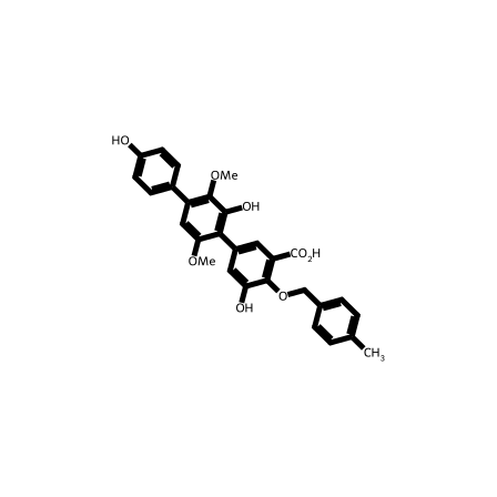 COc1cc(-c2ccc(O)cc2)c(OC)c(O)c1-c1cc(O)c(OCc2ccc(C)cc2)c(C(=O)O)c1